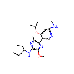 CCC(CC)Nc1nc(C)c(-c2cnc(N(C)C)cc2OC(C)C)nc1OC